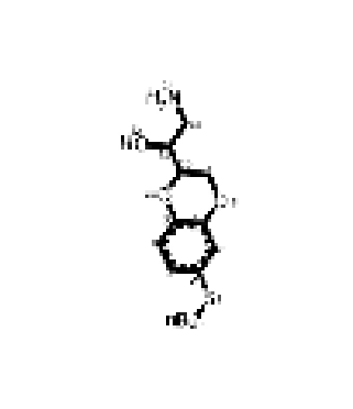 CCCCSc1ccc2c(c1)OCC(C(O)CN)O2